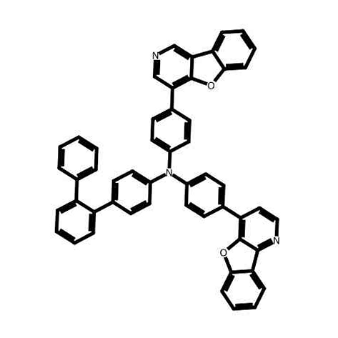 c1ccc(-c2ccccc2-c2ccc(N(c3ccc(-c4cncc5c4oc4ccccc45)cc3)c3ccc(-c4ccnc5c4oc4ccccc45)cc3)cc2)cc1